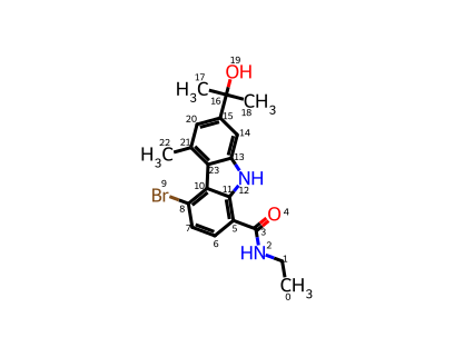 CCNC(=O)c1ccc(Br)c2c1[nH]c1cc(C(C)(C)O)cc(C)c12